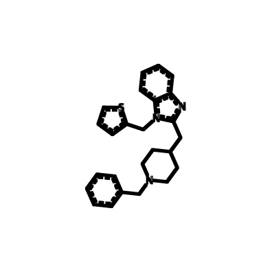 c1ccc(CN2CCC(Cc3nc4ccccc4n3Cc3cccs3)CC2)cc1